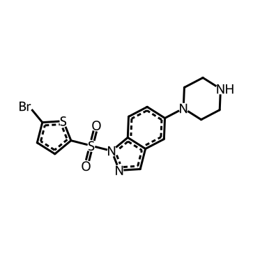 O=S(=O)(c1ccc(Br)s1)n1ncc2cc(N3CCNCC3)ccc21